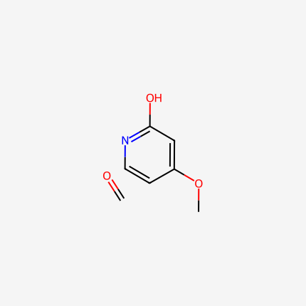 C=O.COc1ccnc(O)c1